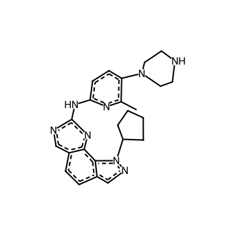 Cc1nc(Nc2ncc3ccc4cnn(C5CCCC5)c4c3n2)ccc1N1CCNCC1